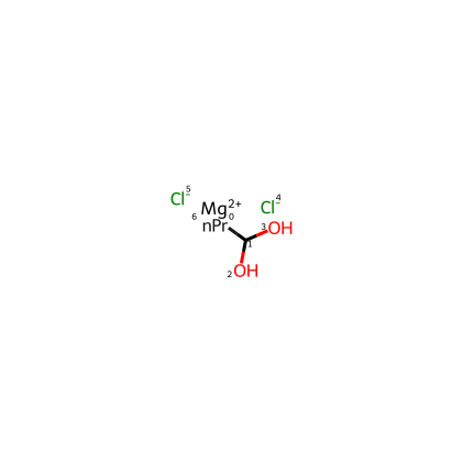 CCCC(O)O.[Cl-].[Cl-].[Mg+2]